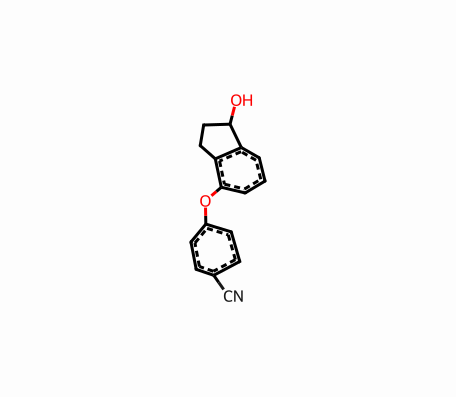 N#Cc1ccc(Oc2cccc3c2CCC3O)cc1